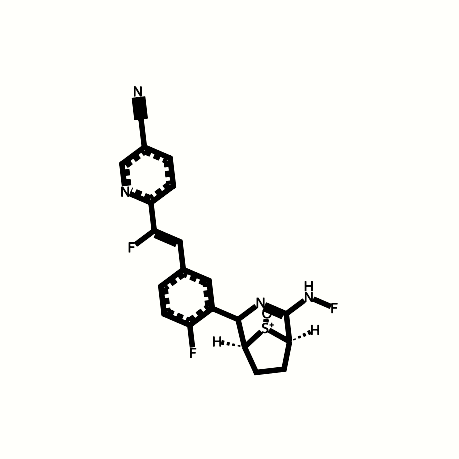 N#Cc1ccc(/C(F)=C/c2ccc(F)c(C3N=C(NF)[C@H]4CC[C@@H]3[S+]4[O-])c2)nc1